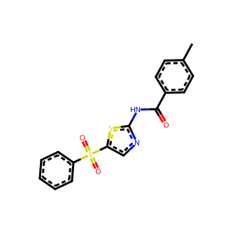 Cc1ccc(C(=O)Nc2ncc(S(=O)(=O)c3ccccc3)s2)cc1